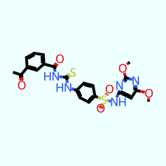 COc1cc(NS(=O)(=O)c2ccc(NC(=S)NC(=O)c3cccc(C(C)=O)c3)cc2)nc(OC)n1